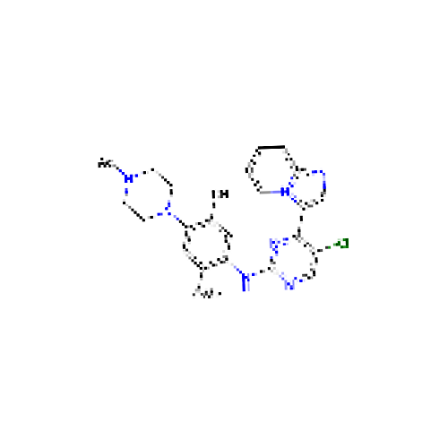 COc1cc(N2CCN(C(C)=O)CC2)c(C#N)cc1Nc1ncc(Cl)c(-c2cnc3ccccn23)n1